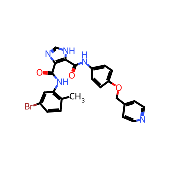 Cc1ccc(Br)cc1NC(=O)c1nc[nH]c1C(=O)Nc1ccc(OCc2ccncc2)cc1